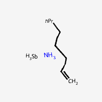 C=CCCCCCC.N.[SbH3]